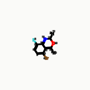 [2H]C1=c2c(Br)ccc(F)c2=NC([2H])O1